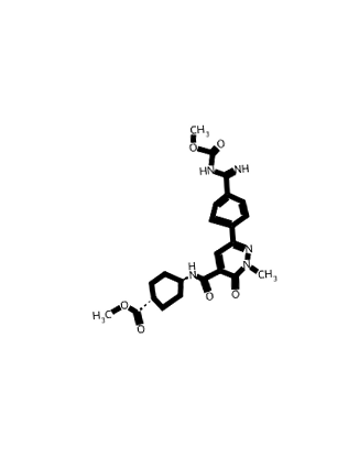 COC(=O)NC(=N)c1ccc(-c2cc(C(=O)N[C@H]3CC[C@@H](C(=O)OC)CC3)c(=O)n(C)n2)cc1